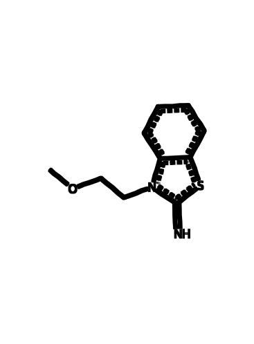 COCCn1c(=N)sc2ccccc21